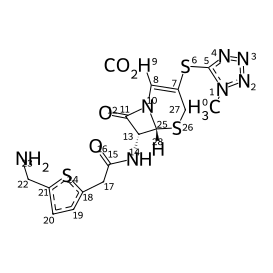 Cn1nnnc1SC1=C(C(=O)O)N2C(=O)[C@@H](NC(=O)Cc3ccc(CN)s3)[C@H]2SC1